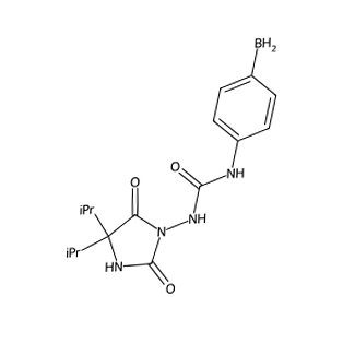 Bc1ccc(NC(=O)NN2C(=O)NC(C(C)C)(C(C)C)C2=O)cc1